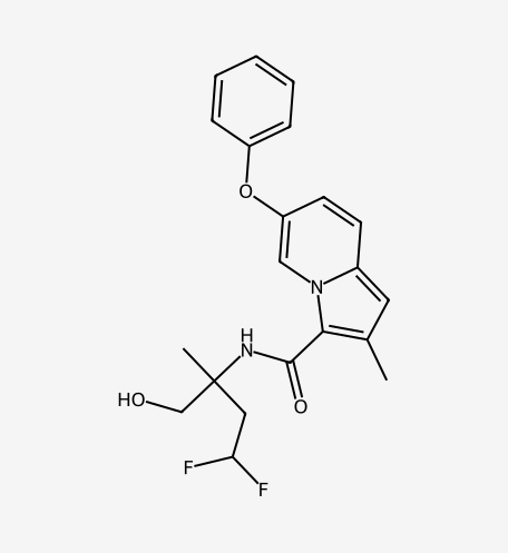 Cc1cc2ccc(Oc3ccccc3)cn2c1C(=O)NC(C)(CO)CC(F)F